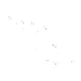 CN(C)CCN1CCN(CC(=O)N(C)c2ccc(NC(=C3C(=O)Nc4cc(Cl)ccc43)c3ccccc3)cc2)CC1